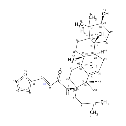 CC1(C)CC[C@]2(NC(=O)/C=C/c3ccco3)CC[C@]3(C)C(=CC[C@@H]4[C@@]5(C)CC[C@H](O)C(C)(C)[C@@H]5CC[C@]43C)[C@@H]2C1